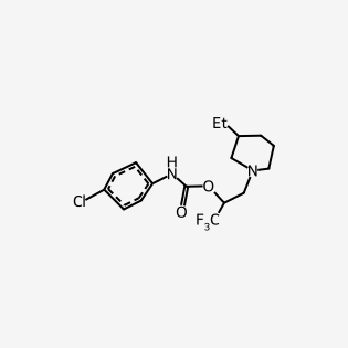 CCC1CCCN(CC(OC(=O)Nc2ccc(Cl)cc2)C(F)(F)F)C1